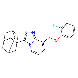 Fc1ccccc1OCc1cccn2c(C34CC5CC(CC(C5)C3)C4)nnc12